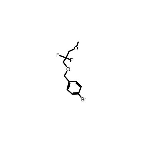 COCC(F)(F)COCc1ccc(Br)cc1